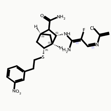 C=C(Cl)/N=C\C(F)=C(/N)N[C@H]1C(C(N)=O)[C@H]2C[C@@H]1[C@H](SCCc1cccc([N+](=O)[O-])c1)C2